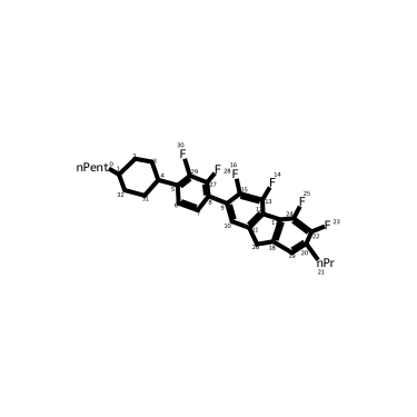 CCCCCC1CCC(c2ccc(-c3cc4c(c(F)c3F)-c3c(cc(CCC)c(F)c3F)C4)c(F)c2F)CC1